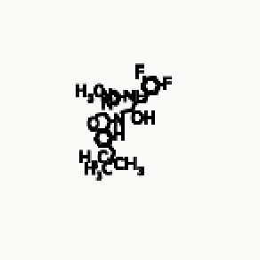 Cn1cc(NC(Cc2cc(F)cc(F)c2)C(O)CNC2CCOc3ccc(CC(C)(C)C)cc32)cn1